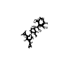 O=C(Nc1ccc(-n2nc(C3CC3)cc2C2CC2)c(F)c1)c1c(Cl)cncc1Cl